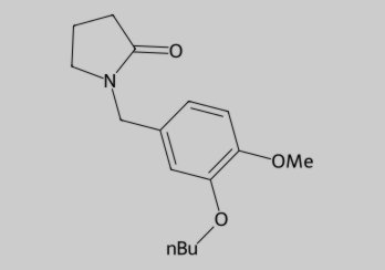 CCCCOc1cc(CN2CCCC2=O)ccc1OC